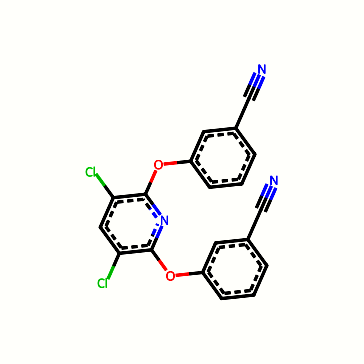 N#Cc1cccc(Oc2nc(Oc3cccc(C#N)c3)c(Cl)cc2Cl)c1